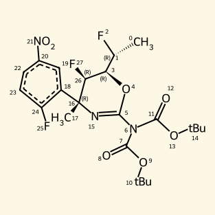 C[C@@H](F)[C@H]1OC(N(C(=O)OC(C)(C)C)C(=O)OC(C)(C)C)=N[C@](C)(c2cc([N+](=O)[O-])ccc2F)[C@H]1F